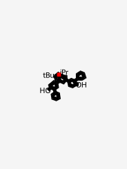 CC(C)C12CC3(c4ccc(O)c(-c5ccccc5)c4)CC(c4ccc(O)c(-c5ccccc5)c4)(C1)CC(C(C)(C)C)(C3)C2